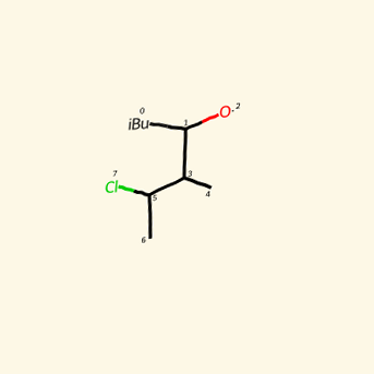 CCC(C)C([O])C(C)C(C)Cl